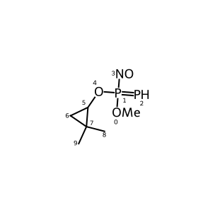 COP(=P)(N=O)OC1CC1(C)C